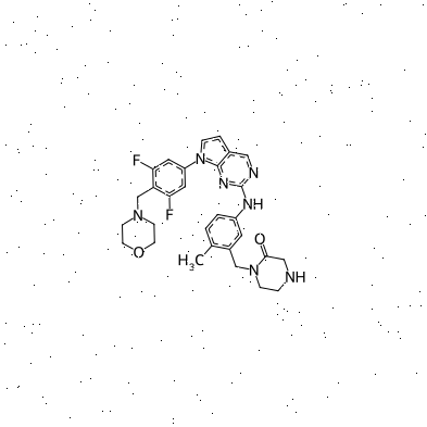 Cc1ccc(Nc2ncc3ccn(-c4cc(F)c(CN5CCOCC5)c(F)c4)c3n2)cc1CN1CCNCC1=O